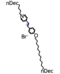 CCCCCCCCCCCCCCCCCCCCCCOc1ccc(/C=C/c2cc[n+](CCCCCCCCCCCCCC)cc2)cc1.[Br-]